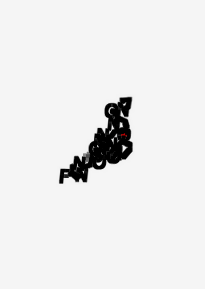 COc1cccc(OC)c1-n1c(NS(=O)(=O)[C@@H](C)Cc2ncc(F)cn2)nnc1-c1cccc(C(=O)N2CCC2)n1